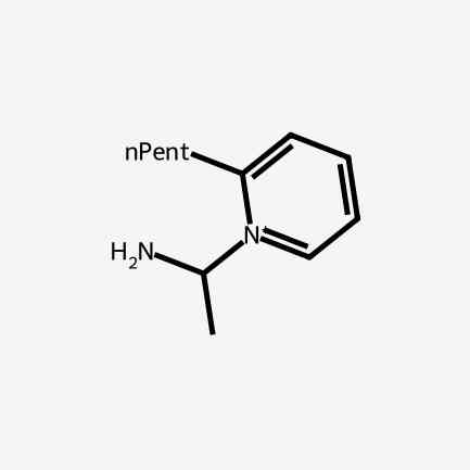 CCCCCc1cccc[n+]1C(C)N